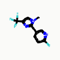 Cn1cc(C(F)(F)F)nc1-c1ccc(F)nc1